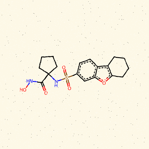 O=C(NO)C1(NS(=O)(=O)c2ccc3c4c(oc3c2)CCCC4)CCCC1